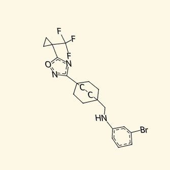 FC(F)(F)C1(c2nc(C34CCC(CNc5cccc(Br)c5)(CC3)CC4)no2)CC1